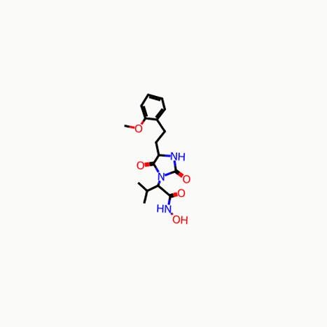 COc1ccccc1CCC1NC(=O)N(C(C(=O)NO)C(C)C)C1=O